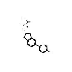 CC(C)S(=O)(=O)N[C@H]1Cc2ccc(-c3ccc(Cl)cn3)cc2C1